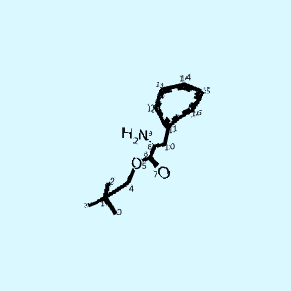 CC(C)(C)COC(=O)[C@H](N)Cc1ccccc1